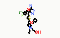 CCCCN(CCCCO)c1ccc(/C=C/c2ccc(/C=C/C3=C(C#N)C(=C(C#N)C#N)OC3(C)c3ccc(F)c(Cl)c3)s2)c(OCc2ccccc2)c1